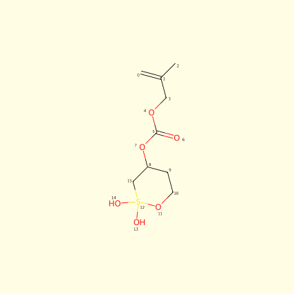 C=C(C)COC(=O)OC1CCOS(O)(O)C1